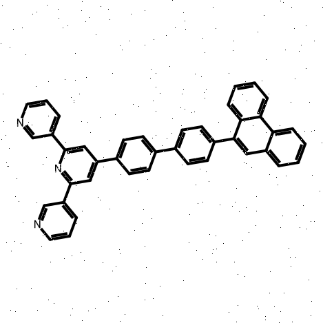 c1cncc(-c2cc(-c3ccc(-c4ccc(-c5cc6ccccc6c6ccccc56)cc4)cc3)cc(-c3cccnc3)n2)c1